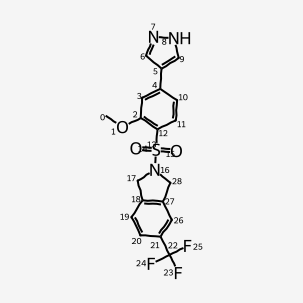 COc1cc(-c2cn[nH]c2)ccc1S(=O)(=O)N1Cc2ccc(C(F)(F)F)cc2C1